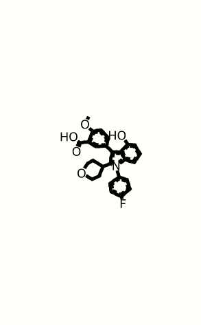 COc1ccc(-c2c(C3CCOCC3)n(-c3ccc(F)cc3)c3cccc(O)c23)cc1C(=O)O